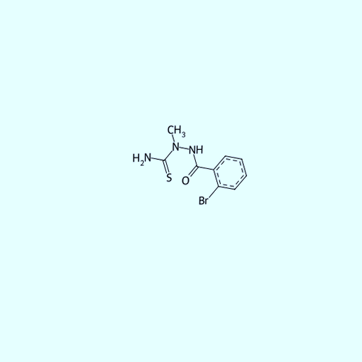 CN(NC(=O)c1ccccc1Br)C(N)=S